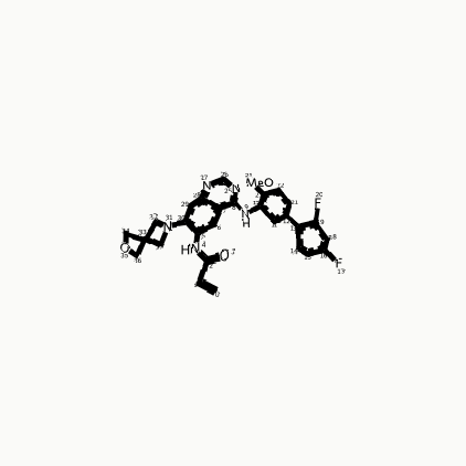 C=CC(=O)Nc1cc2c(Nc3cc(-c4ccc(F)cc4F)ccc3OC)ncnc2cc1N1CC2(COC2)C1